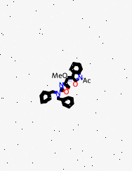 CO/C(=C1/C(=O)N(C(C)=O)c2ccccc21)c1coc(N(Cc2ccccc2)Cc2ccccc2)n1